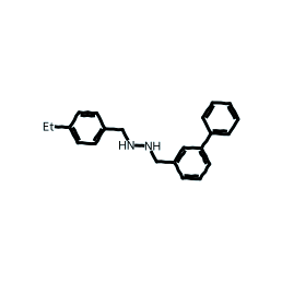 CCc1ccc(CNNCc2cccc(-c3ccccc3)c2)cc1